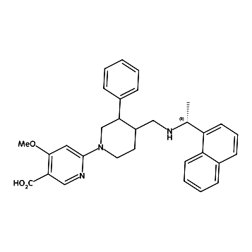 COc1cc(N2CCC(CN[C@H](C)c3cccc4ccccc34)C(c3ccccc3)C2)ncc1C(=O)O